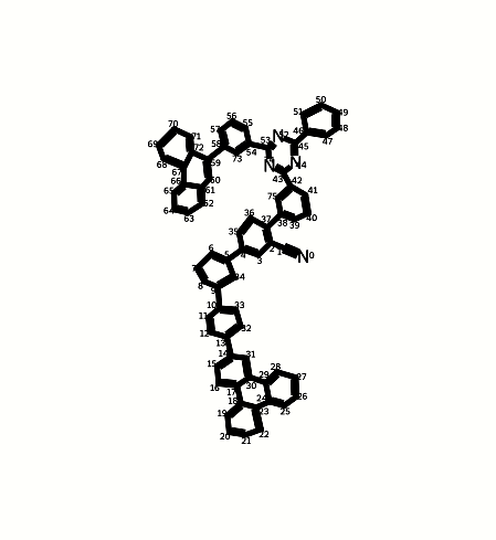 N#Cc1cc(-c2cccc(-c3ccc(-c4ccc5c6ccccc6c6ccccc6c5c4)cc3)c2)ccc1-c1cccc(-c2nc(-c3ccccc3)nc(-c3cccc(-c4cc5ccccc5c5ccccc45)c3)n2)c1